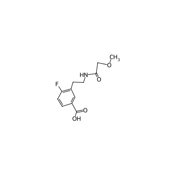 COCC(=O)NCCc1cc(C(=O)O)ccc1F